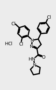 Cl.O=C(NN1CCCC1)C1=NN(c2ccc(Cl)cc2Cl)C(c2ccc(Cl)cc2)C1